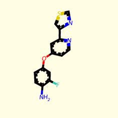 Nc1ccc(Oc2ccnc(-c3cscn3)c2)cc1F